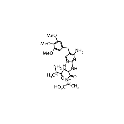 COc1cc(Cc2cnc(NC(NC(=O)[C@H](C)N)C(=O)N[C@@H](C)C(=O)O)nc2N)cc(OC)c1OC